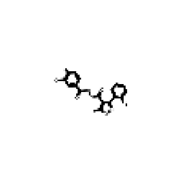 Cc1onc(-c2ccccc2Cl)c1C(=O)NNC(=O)c1ccc(F)c(Cl)c1